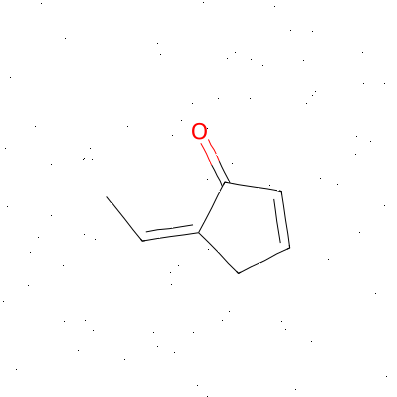 CC=C1CC=CC1=O